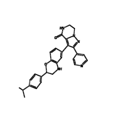 CC(C)c1ccc(C2CNc3cc(-c4c(-c5ccncc5)nn5c4C(=O)NCC5)ccc3O2)cc1